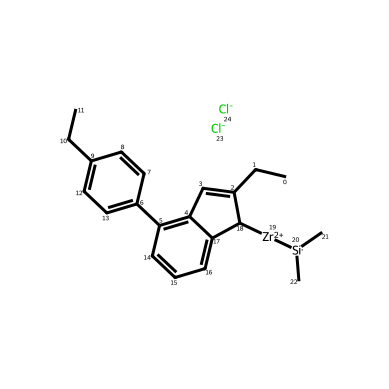 CCC1=Cc2c(-c3ccc(CC)cc3)cccc2[CH]1[Zr+2][Si](C)C.[Cl-].[Cl-]